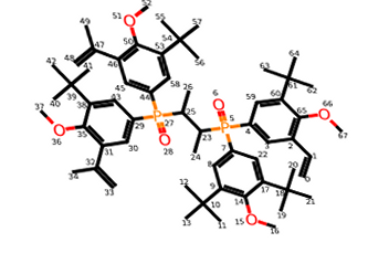 C=Cc1cc(P(=O)(c2cc(C(C)(C)C)c(OC)c(C(C)(C)C)c2)C(C)C(C)P(=O)(c2cc(C(=C)C)c(OC)c(C(C)(C)C)c2)c2cc(C(=C)C)c(OC)c(C(C)(C)C)c2)cc(C(C)(C)C)c1OC